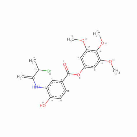 C=C(Nc1cc(C(=O)Oc2cc(OC)c(OC)c(OC)c2)ccc1O)C(C)Br